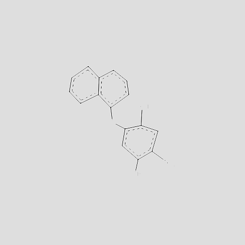 Cc1cc(Oc2cccc3ccccc23)c(C)cc1N